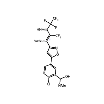 CN/C(=C(\C(=N)C(F)(F)C(F)(F)F)C(F)(F)F)c1cc(-c2ccc(Cl)c(C(O)NC)c2)on1